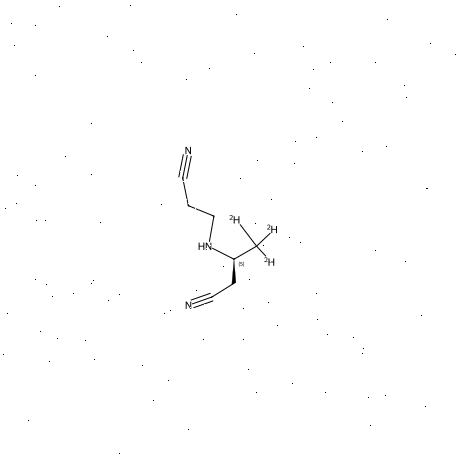 [2H]C([2H])([2H])[C@@H](CC#N)NCCC#N